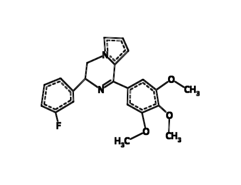 COc1cc(C2=NC(c3cccc(F)c3)Cn3cccc32)cc(OC)c1OC